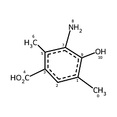 Cc1cc(C(=O)O)c(C)c(N)c1O